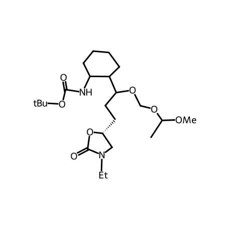 CCN1C[C@@H](CCC(OCOC(C)OC)C2CCCCC2NC(=O)OC(C)(C)C)OC1=O